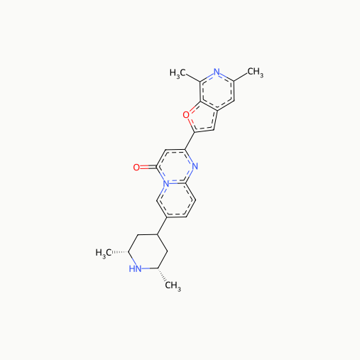 Cc1cc2cc(-c3cc(=O)n4cc(C5C[C@@H](C)N[C@@H](C)C5)ccc4n3)oc2c(C)n1